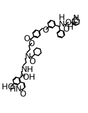 O=C(NC(c1ccccc1)c1cccc(OCc2ccc(C(=O)OCCCN(CCCNC[C@H](O)c3ccc(O)c4[nH]c(=O)ccc34)C(=O)C3CCCCC3)cc2)c1)O[C@H]1CN2CCC1CC2